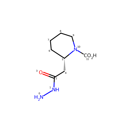 NNC(=O)C[C@@H]1CCCCN1C(=O)O